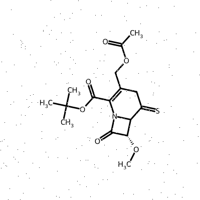 CO[C@@H]1C(=O)N2C(C(=O)OC(C)(C)C)=C(COC(C)=O)CC(=S)C12